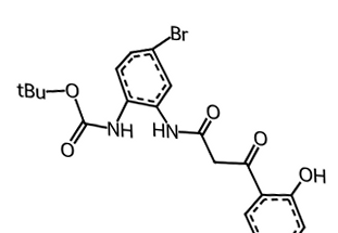 CC(C)(C)OC(=O)Nc1ccc(Br)cc1NC(=O)CC(=O)c1cnncc1O